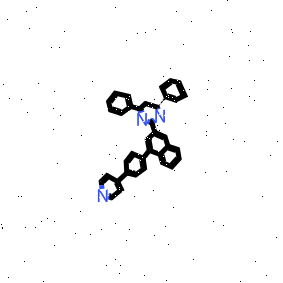 c1ccc(C2=NC(c3cc(-c4ccc(-c5ccncc5)cc4)c4ccccc4c3)=N[C@@H](c3ccccc3)C2)cc1